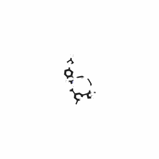 Cc1cc2cc(n1)-c1cnn(C)c1OCCC[C@@H](C)CN1/C(=N/C2=O)Nc2ccc(N3CC(N)C3)cc21